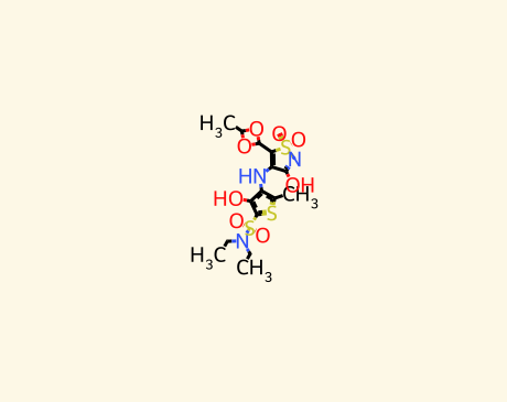 CCN(CC)S(=O)(=O)c1sc(C)c(NC2=C(C3OC(C)O3)S(=O)(=O)N=C2O)c1O